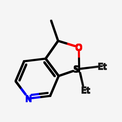 CC[Si]1(CC)OC(C)c2ccncc21